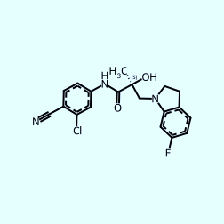 C[C@](O)(CN1CCc2ccc(F)cc21)C(=O)Nc1ccc(C#N)c(Cl)c1